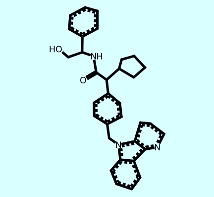 O=C(NC(CO)c1ccccc1)C(c1ccc(Cn2c3ccccc3c3ncccc32)cc1)C1CCCC1